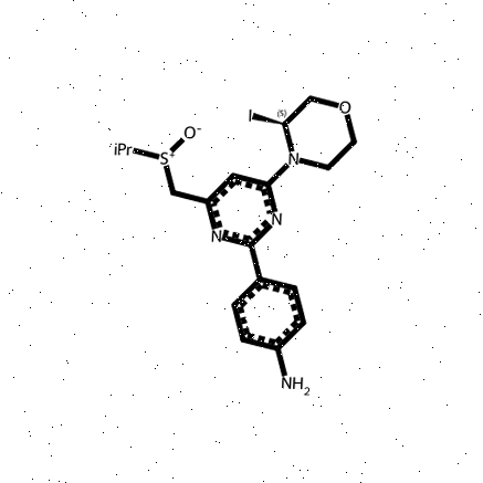 CC(C)[S+]([O-])Cc1cc(N2CCOC[C@@H]2I)nc(-c2ccc(N)cc2)n1